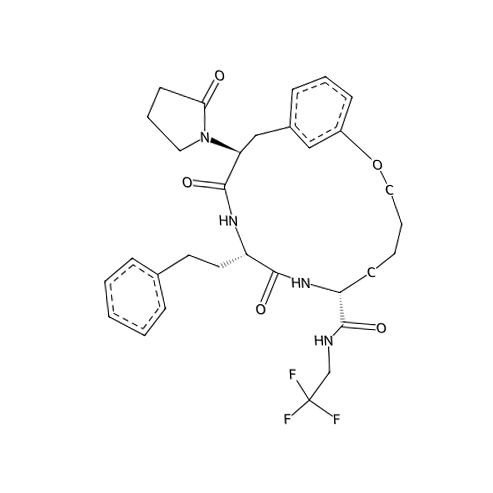 O=C1N[C@@H](C(=O)NCC(F)(F)F)CCCCOc2cccc(c2)C[C@H](N2CCCC2=O)C(=O)N[C@H]1CCc1ccccc1